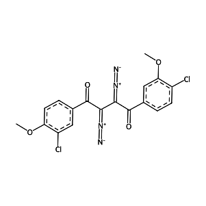 COc1ccc(C(=O)C(=[N+]=[N-])C(=[N+]=[N-])C(=O)c2ccc(Cl)c(OC)c2)cc1Cl